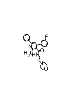 Cc1nc(-c2ccccc2)cc(-c2cccc(F)c2)c1C(=O)NCCN1CCOCC1